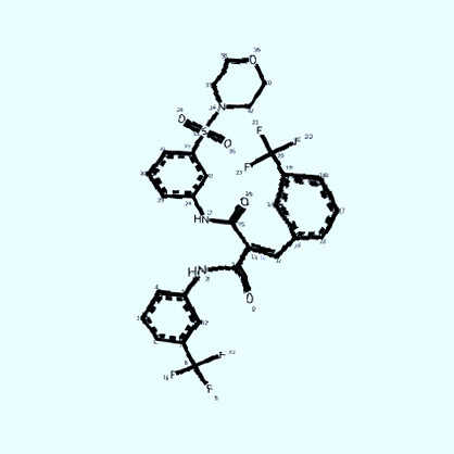 O=C(Nc1cccc(C(F)(F)F)c1)/C(=C/c1cccc(C(F)(F)F)c1)C(=O)Nc1cccc(S(=O)(=O)N2CCOCC2)c1